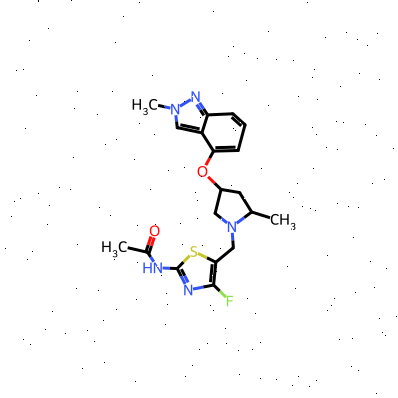 CC(=O)Nc1nc(F)c(CN2CC(Oc3cccc4nn(C)cc34)CC2C)s1